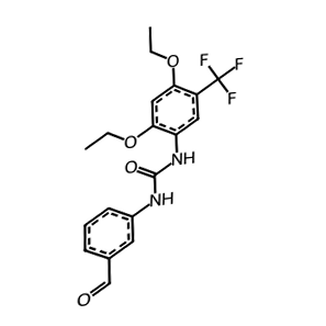 CCOc1cc(OCC)c(C(F)(F)F)cc1NC(=O)Nc1cccc(C=O)c1